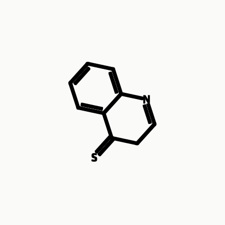 S=C1CC=Nc2ccccc21